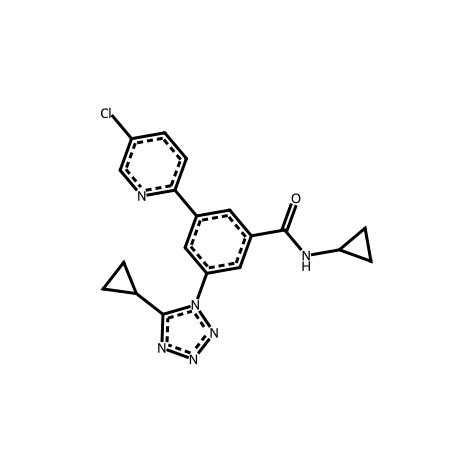 O=C(NC1CC1)c1cc(-c2ccc(Cl)cn2)cc(-n2nnnc2C2CC2)c1